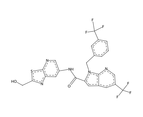 O=C(Nc1cnc2sc(CO)nc2c1)c1cc2cc(C(F)(F)F)cnc2n1Cc1cccc(C(F)(F)F)c1